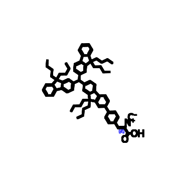 [C-]#[N+]/C(=C\c1ccc(-c2ccc3c(c2)C(CCCC)(CCCC)c2cc(C(c4ccc5c(c4)C(CCCC)(CCCC)c4ccccc4-5)c4ccc5c(c4)C(CCCC)(CCCC)c4ccccc4-5)ccc2-3)cc1)C(=O)O